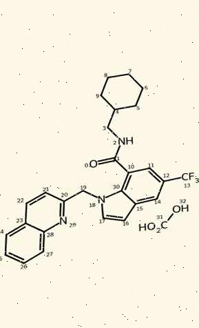 O=C(NCC1CCCCC1)c1cc(C(F)(F)F)cc2ccn(Cc3ccc4ccccc4n3)c12.O=C(O)O